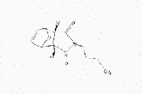 CCCCN1C(=O)[C@@H]2C3C=CC(O3)[C@@H]2C1=O